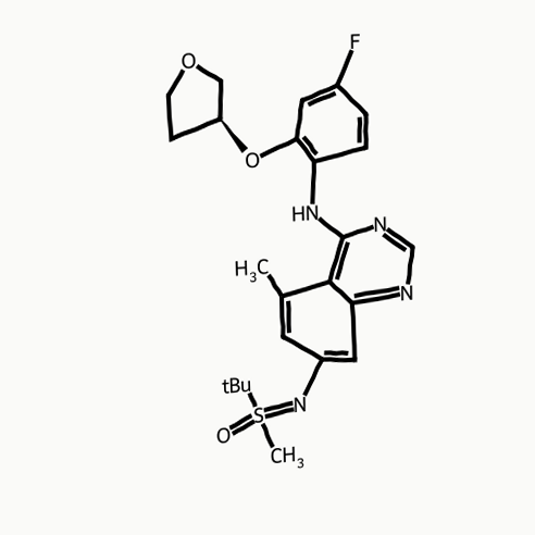 Cc1cc(N=S(C)(=O)C(C)(C)C)cc2ncnc(Nc3ccc(F)cc3O[C@H]3CCOC3)c12